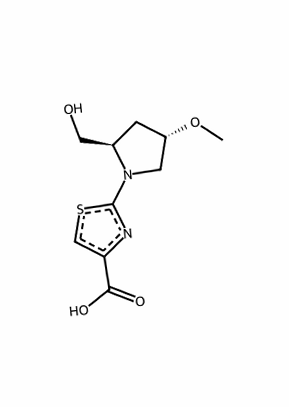 CO[C@H]1C[C@H](CO)N(c2nc(C(=O)O)cs2)C1